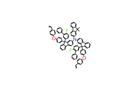 C=Cc1ccc(Oc2ccc(C3(c4ccc(F)c(-c5ccccc5)c4)c4ccccc4-c4ccc(N(c5ccc6c(c5)C(C)(C)c5ccccc5-6)c5ccc6c(c5)C(c5ccc(Oc7ccc(C=C)cc7)cc5)(c5ccc(F)c(-c7ccccc7)c5)c5ccccc5-6)cc43)cc2)cc1